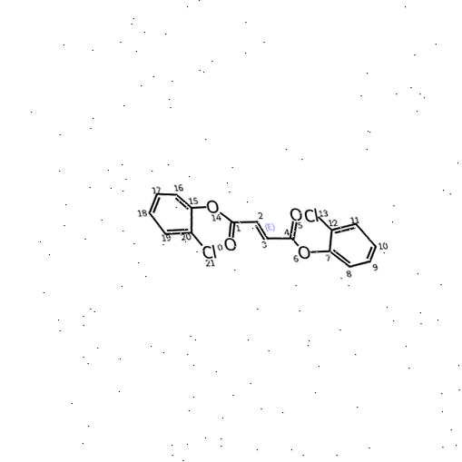 O=C(/C=C/C(=O)Oc1ccccc1Cl)Oc1ccccc1Cl